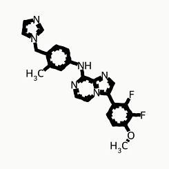 COc1ccc(-c2cnc3c(Nc4ccc(Cn5ccnc5)c(C)c4)nccn23)c(F)c1F